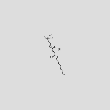 CCCCCCCCOC(=O)C=CC(=O)OCC[N+](CC)(CC)CC.[Br-]